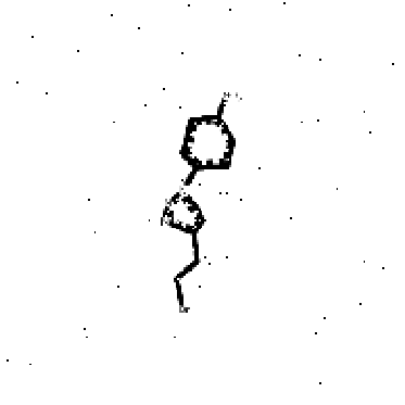 O=[N+]([O-])c1ccc(-n2cc(CCBr)nn2)cc1